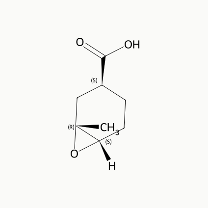 C[C@@]12C[C@@H](C(=O)O)CC[C@@H]1O2